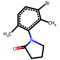 Cc1ccc(Br)c(C)c1N1CCCC1=O